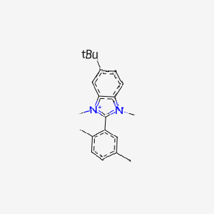 Cc1ccc(C)c(-c2n(C)c3ccc(C(C)(C)C)cc3[n+]2C)c1